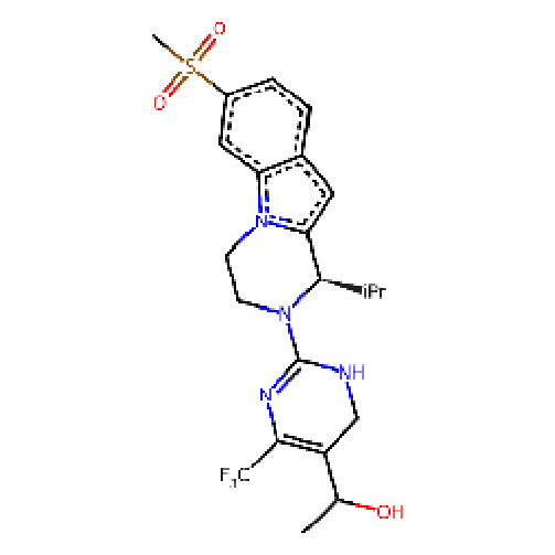 CC(O)C1=C(C(F)(F)F)N=C(N2CCn3c(cc4ccc(S(C)(=O)=O)cc43)[C@H]2C(C)C)NC1